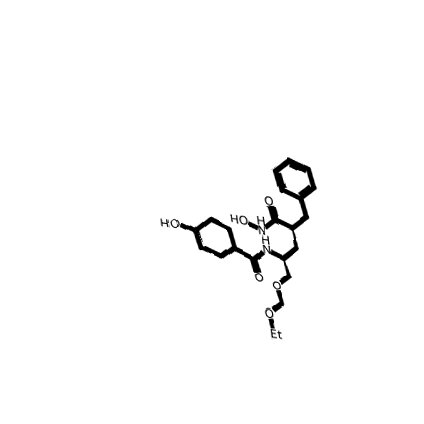 CCOCOC[C@H](C[C@H](Cc1ccccc1)C(=O)NO)NC(=O)C1CCC(O)CC1